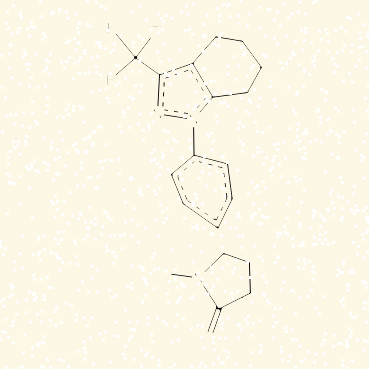 CN1C(=O)CC[C@H]1c1ccc(-n2nc(C(F)(F)F)c3c2CCCC3)cc1